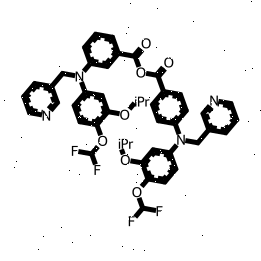 CC(C)Oc1cc(N(Cc2cccnc2)c2ccc(C(=O)OC(=O)c3cccc(N(Cc4cccnc4)c4ccc(OC(F)F)c(OC(C)C)c4)c3)cc2)ccc1OC(F)F